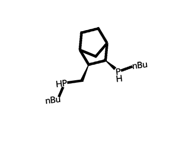 CCCCPC[C@H]1C2CCC(C2)[C@H]1PCCCC